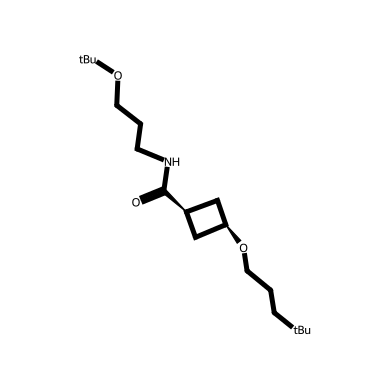 CC(C)(C)CCCO[C@H]1C[C@@H](C(=O)NCCCOC(C)(C)C)C1